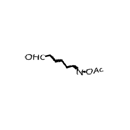 CC(=O)O/N=C/CCCCC=O